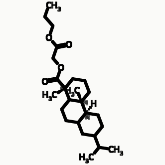 CCCOC(=O)COC(=O)[C@]1(C)CCC[C@@]2(C)C1CCC1CC(C(C)C)CC[C@@H]12